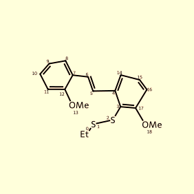 CCSSc1c(/C=C/c2ccccc2OC)cccc1OC